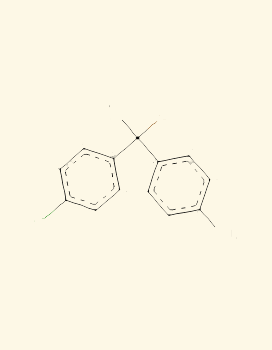 Cc1ccc(C(C)(S)c2ccc(Cl)cc2)cc1